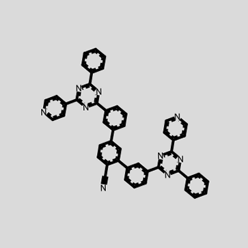 N#Cc1ccc(-c2cccc(-c3nc(-c4ccccc4)nc(-c4ccncc4)n3)c2)cc1-c1cccc(-c2nc(-c3ccccc3)nc(-c3ccncc3)n2)c1